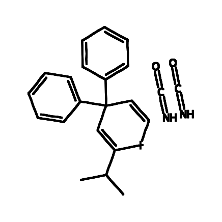 CC(C)C1=CC(c2ccccc2)(c2ccccc2)C=C[I]1.N=C=O.N=C=O